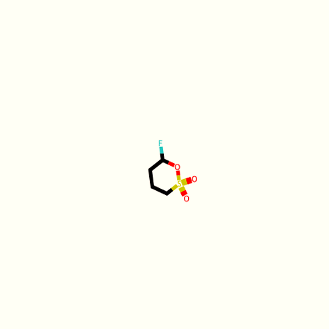 O=S1(=O)CCCC(F)O1